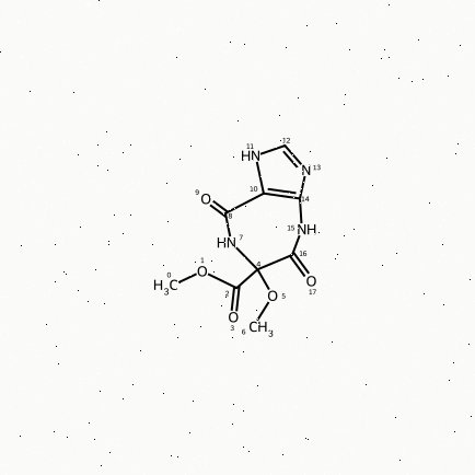 COC(=O)C1(OC)NC(=O)c2[nH]cnc2NC1=O